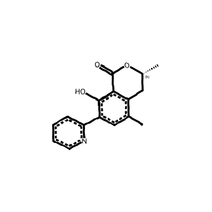 Cc1cc(-c2ccccn2)c(O)c2c1C[C@@H](C)OC2=O